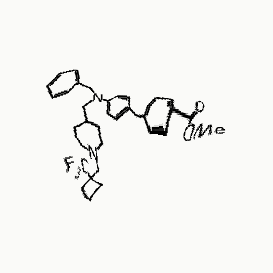 COC(=O)c1ccc(-c2ccc(N(Cc3ccccc3)CC3CCN(CC4(C(F)(F)F)CCC4)CC3)cc2)cc1